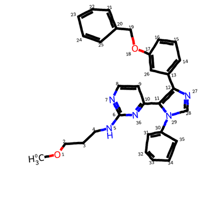 COCCCNc1nccc(-c2c(-c3cccc(OCc4ccccc4)c3)ncn2-c2ccccc2)n1